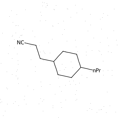 CCCC1CCC(CCC#N)CC1